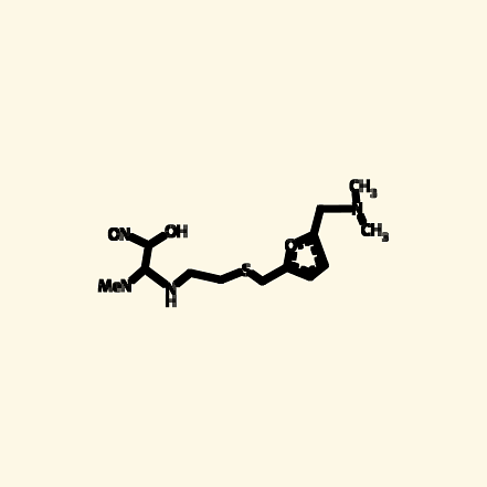 CNC(NCCSCc1ccc(CN(C)C)o1)C(O)N=O